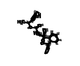 C#CC(C)OC(=O)NS(=O)(=O)c1ccccc1[N+](=O)[O-]